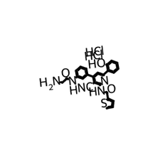 Cl.Cl.N#Cc1c(-c2cccc(NC(=O)CN)c2)cc(-c2ccccc2O)nc1NC(=O)c1cccs1